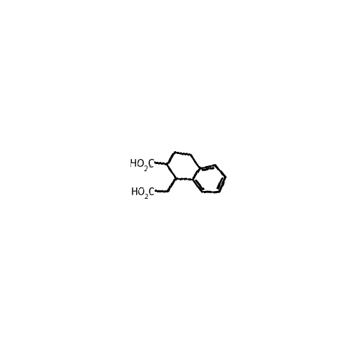 O=C(O)CC1c2ccccc2CCC1C(=O)O